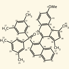 COc1ccc2nc(-c3c(P(=O)(c4cc(C)cc(C)c4)c4cc(C)cc(C)c4)ccc4ccccc34)c3c(C)cc(C)n3c2c1